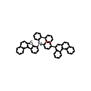 c1ccc(-c2ccccc2N(c2ccc(-c3cc4ccc5ccccc5c4c4ccccc34)cc2)c2cccc3c2sc2ccc4ccccc4c23)cc1